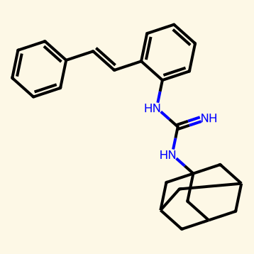 N=C(Nc1ccccc1/C=C/c1ccccc1)NC12CC3CC(CC(C3)C1)C2